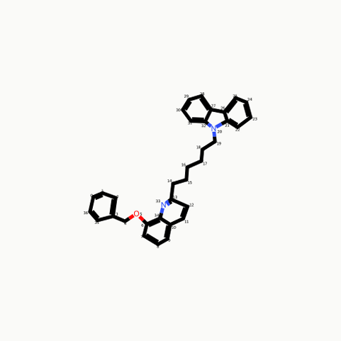 c1ccc(COc2cccc3ccc(CCCCCCn4c5ccccc5c5ccccc54)nc23)cc1